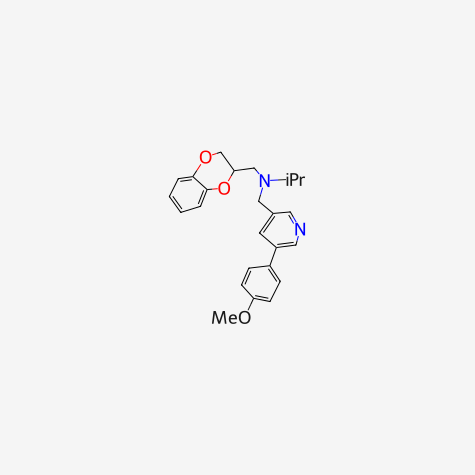 COc1ccc(-c2cncc(CN(CC3COc4ccccc4O3)C(C)C)c2)cc1